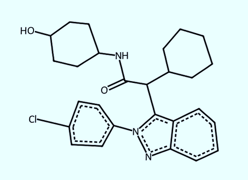 O=C(NC1CCC(O)CC1)C(c1c2ccccc2nn1-c1ccc(Cl)cc1)C1CCCCC1